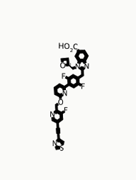 O=C(O)c1ccc2nc(Cc3cc(F)c(-c4cccc(OCc5ncc(C#Cc6cscn6)cc5F)n4)cc3F)n(C[C@@H]3CCO3)c2c1